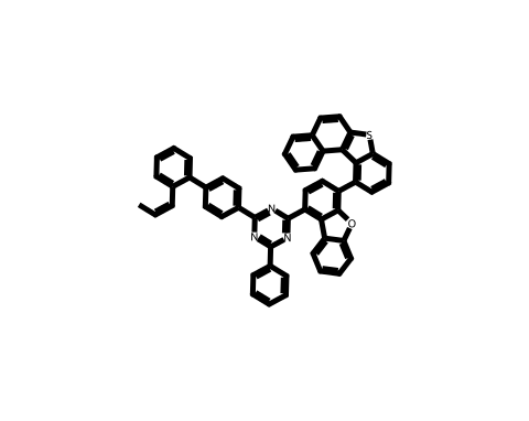 C/C=C\c1ccccc1-c1ccc(-c2nc(-c3ccccc3)nc(-c3ccc(-c4cccc5sc6ccc7ccccc7c6c45)c4oc5ccccc5c34)n2)cc1